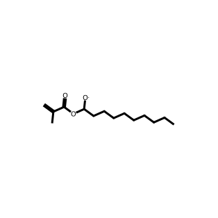 C=C(C)C(=O)OC([O])CCCCCCCCC